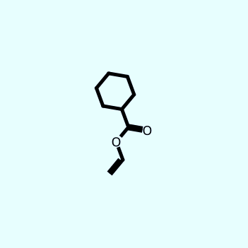 C=COC(=O)C1CCCCC1